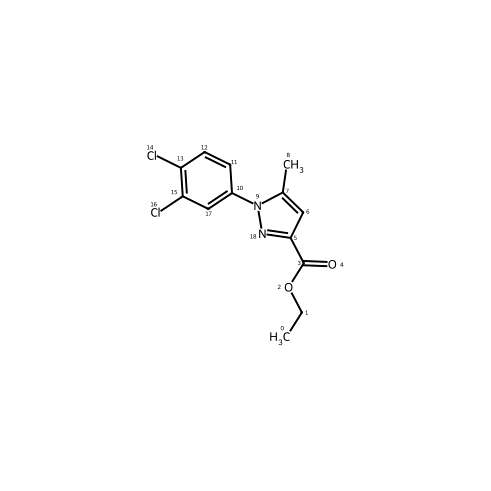 CCOC(=O)c1cc(C)n(-c2ccc(Cl)c(Cl)c2)n1